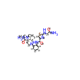 CN(C)C1(C(N)=O)CCN(c2ccccc2NC(=O)c2csc(NCC(N)=O)n2)CC1